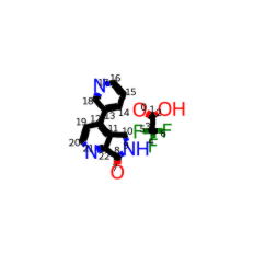 O=C(O)C(F)(F)F.O=C1NCc2c(-c3cccnc3)ccnc21